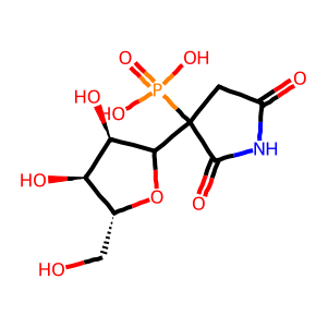 O=C1CC(C2O[C@H](CO)[C@@H](O)[C@H]2O)(P(=O)(O)O)C(=O)N1